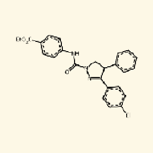 CCOC(=O)c1ccc(NC(=O)N2CC(c3ccccc3)C(c3ccc(Cl)cc3)=N2)cc1